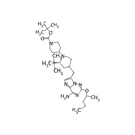 CCCC(C)Oc1nc(N)c2ncc(CC3CCN(C4CCN(C(=O)OC(C)(C)C)CC4)[C@H](C(C)(C)C)C3)n2n1